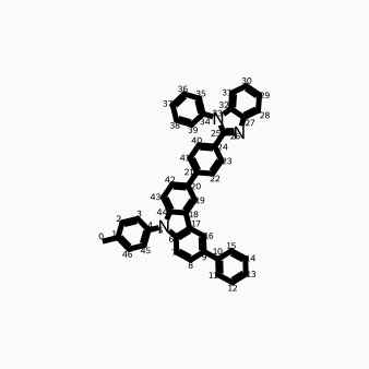 Cc1ccc(-n2c3ccc(-c4ccccc4)cc3c3cc(-c4ccc(-c5nc6ccccc6n5-c5ccccc5)cc4)ccc32)cc1